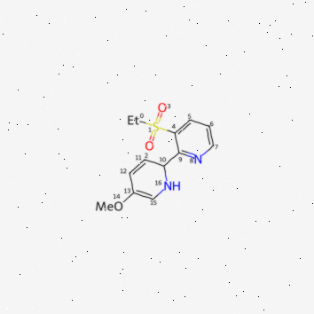 CCS(=O)(=O)c1cccnc1C1C=CC(OC)=CN1